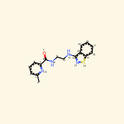 Cc1cccc(C(=O)NCCNc2nsc3ccccc23)n1